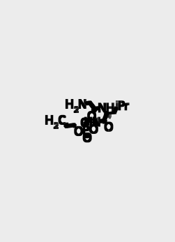 C=CCOP(=O)(O)ONC(=O)[C@H](CC(C)C)NC(=O)CN